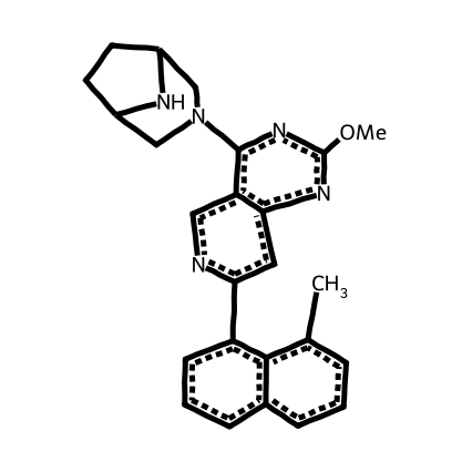 COc1nc(N2CC3CCC(C2)N3)c2cnc(-c3cccc4cccc(C)c34)cc2n1